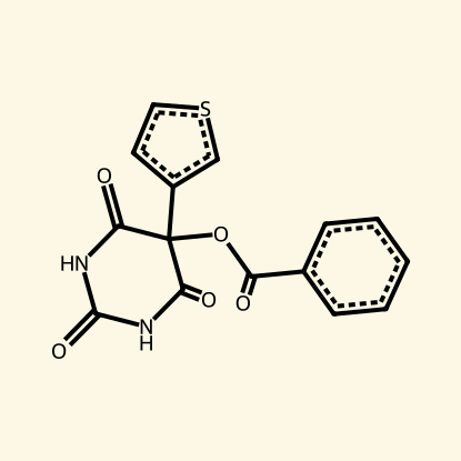 O=C1NC(=O)C(OC(=O)c2ccccc2)(c2ccsc2)C(=O)N1